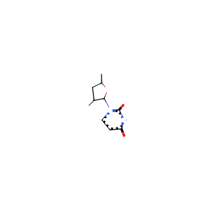 CCC1CC(C)C(n2ccc(=O)[nH]c2=O)O1